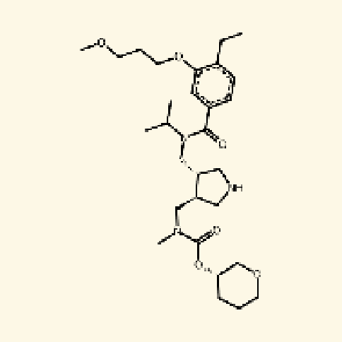 CCc1ccc(C(=O)N(C[C@@H]2CNC[C@H]2CN(C)C(=O)O[C@H]2CCCOC2)C(C)C)cc1OCCCOC